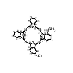 NNc1cccc2c3nc4nc(nc5[nH]c(nc6nc(nc([nH]3)c12)-c1ccccc1-6)c1ccccc51)-c1ccccc1-4.[Zn]